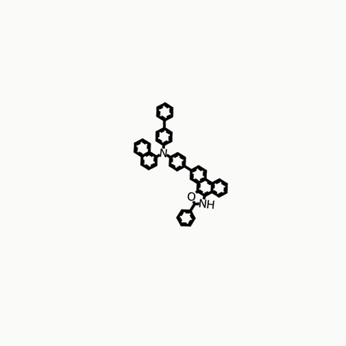 c1ccc(-c2ccc(N(c3ccc(-c4ccc5c(c4)c4c(c6ccccc65)NC(c5ccccc5)O4)cc3)c3cccc4ccccc34)cc2)cc1